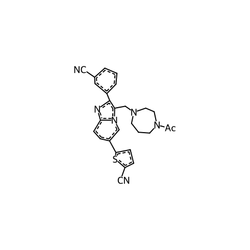 CC(=O)N1CCCN(Cc2c(-c3cccc(C#N)c3)nc3ccc(-c4ccc(C#N)s4)cn23)CC1